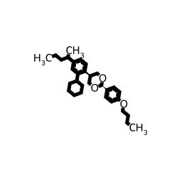 CCCCOc1ccc([C@H]2OC[C@H](c3ccc(C(C)CCC)cc3C3CCCCC3)CO2)cc1